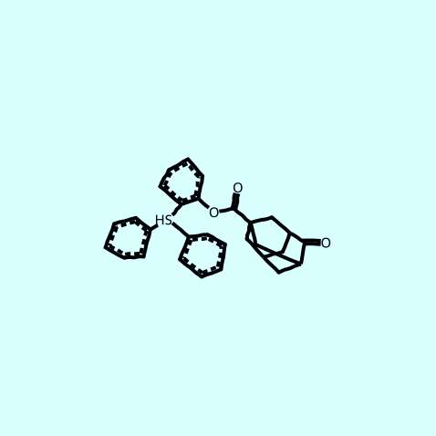 O=C1C2CC3CC1CC(C(=O)Oc1ccccc1[SH](c1ccccc1)c1ccccc1)(C3)C2